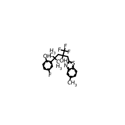 Cc1ccc2sc(CC(O)(CC(C)(C)c3cc(F)ccc3O)C(F)(F)F)nc2c1